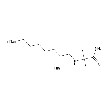 Br.CCCCCCCCCCCCCCCCNC(C)(C)C(N)=O